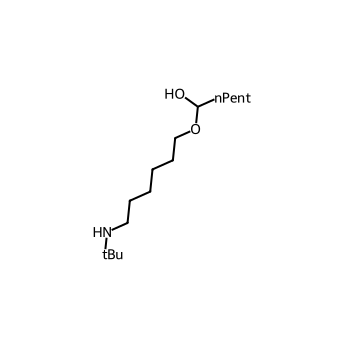 CCCCCC(O)OCCCCCCNC(C)(C)C